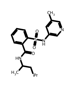 Cc1cncc(NS(=O)(=O)c2ccccc2C(=O)NC(C)CC(C)C)c1